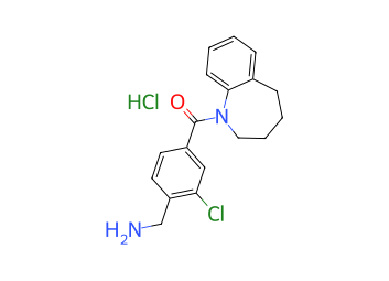 Cl.NCc1ccc(C(=O)N2CCCCc3ccccc32)cc1Cl